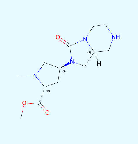 COC(=O)[C@H]1C[C@H](N2C[C@@H]3CNCCN3C2=O)CN1C